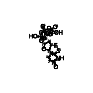 O=c1ccn([C@@H]2O[C@H](OP(=O)(O)OP(=O)(O)OP(=O)(O)O)C[C@@H]2F)c(=S)[nH]1